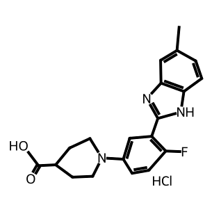 Cc1ccc2[nH]c(-c3cc(N4CCC(C(=O)O)CC4)ccc3F)nc2c1.Cl